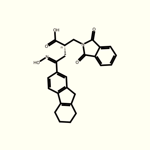 O=C(O)[C@@H](CC(=NO)c1ccc2c(c1)CC1=C2CCCC1)CN1C(=O)c2ccccc2C1=O